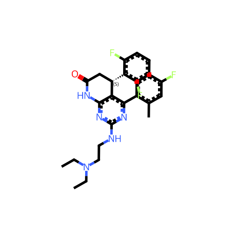 CCN(CC)CCNc1nc2c(c(-c3ccc(F)cc3C)n1)[C@@H](c1c(F)cccc1F)CC(=O)N2